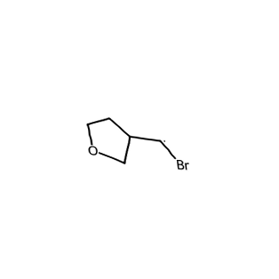 Br[CH]C1CCOC1